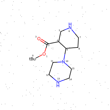 CC(C)(C)OC(=O)C1CNCCC1N1CCNCC1